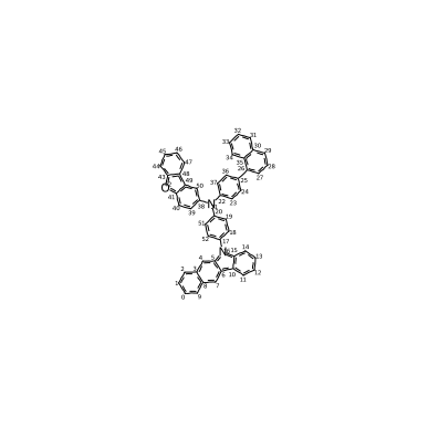 c1ccc2cc3c(cc2c1)c1ccccc1n3-c1ccc(N(c2ccc(-c3cccc4ccccc34)cc2)c2ccc3oc4ccccc4c3c2)cc1